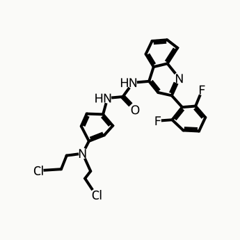 O=C(Nc1ccc(N(CCCl)CCCl)cc1)Nc1cc(-c2c(F)cccc2F)nc2ccccc12